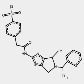 CCS(=O)(=O)c1ccc(CC(=O)Nc2nc3c(s2)CN([C@@H](C)c2ccccc2)C3C(C)C)cc1